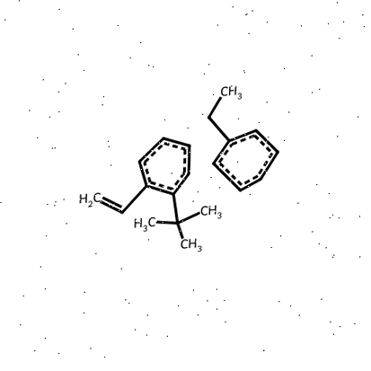 C=Cc1ccccc1C(C)(C)C.CCc1ccccc1